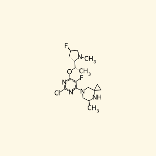 C[C@H](Oc1nc(Cl)nc(N2C[C@H](C)NC3(CC3)C2)c1F)[C@@H]1C[C@@H](F)CN1C